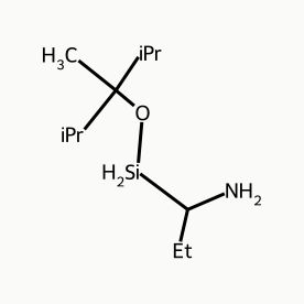 CCC(N)[SiH2]OC(C)(C(C)C)C(C)C